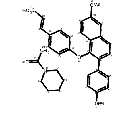 COc1ccc(-c2ccc3cc(OC)ccc3c2Oc2ccc(C=CC(=O)O)cc2)cc1.NC(=O)N1CCCCC1